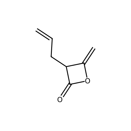 C=CCC1C(=C)OC1=O